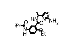 CCOc1ccc(NC(=O)C(C)C)cc1C(=O)NC(C)c1csc(N)n1